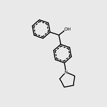 OC(c1ccccc1)c1ccc(N2CCCC2)cc1